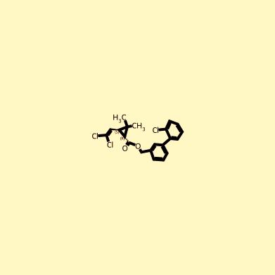 CC1(C)[C@H](C=C(Cl)Cl)[C@H]1C(=O)OCc1cccc(-c2ccccc2Cl)c1